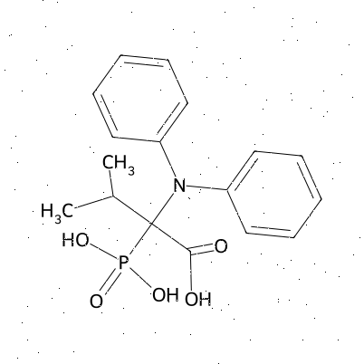 CC(C)C(C(=O)O)(N(c1ccccc1)c1ccccc1)P(=O)(O)O